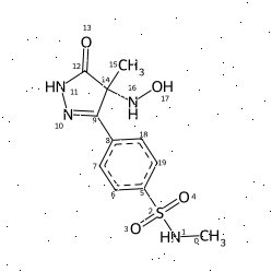 CNS(=O)(=O)c1ccc(C2=NNC(=O)C2(C)NO)cc1